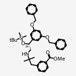 COC(=O)c1cccc(CC(C)(C)NC[C@H](O[Si](C)(C)C(C)(C)C)c2cc(OCc3ccccc3)cc(OCc3ccccc3)c2)c1